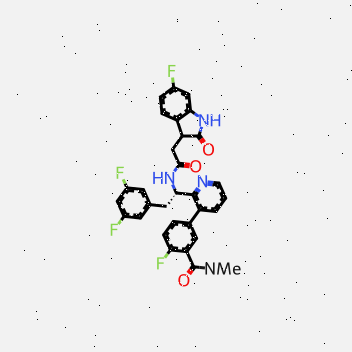 CNC(=O)c1cc(-c2cccnc2[C@H](Cc2cc(F)cc(F)c2)NC(=O)CC2C(=O)Nc3cc(F)ccc32)ccc1F